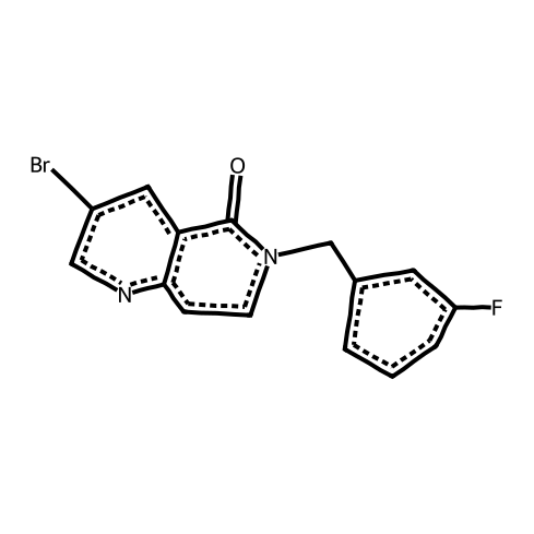 O=c1c2cc(Br)cnc2ccn1Cc1cccc(F)c1